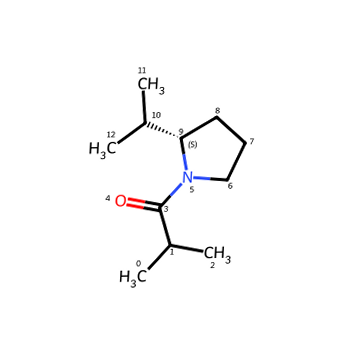 CC(C)C(=O)N1CCC[C@H]1C(C)C